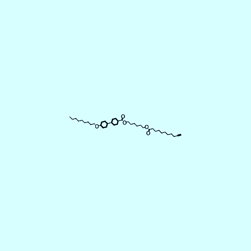 C#CCCCCCCCCC(=O)OCCCCCCOC(=O)c1ccc(-c2ccc(OCCCCCCCCC)cc2)cc1